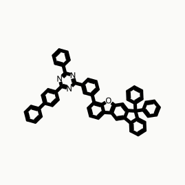 c1ccc(-c2ccc(-c3nc(-c4ccccc4)nc(-c4cccc(-c5cccc6c5oc5cc7c(cc56)-c5ccccc5C7(c5ccccc5)c5ccccc5)c4)n3)cc2)cc1